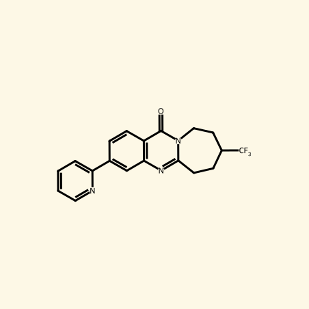 O=c1c2ccc(-c3ccccn3)cc2nc2n1CCC(C(F)(F)F)CC2